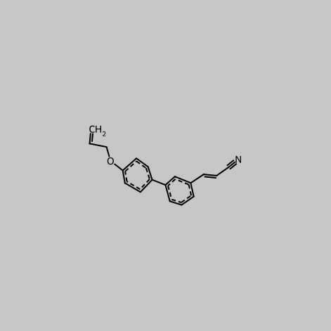 C=CCOc1ccc(-c2cccc(C=CC#N)c2)cc1